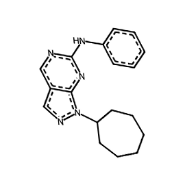 c1ccc(Nc2ncc3cnn(C4CCCCCC4)c3n2)cc1